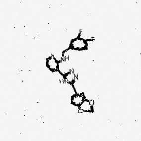 Fc1ccc(CNc2ncccc2-c2nnc(-c3ccc4c(c3)OCO4)[nH]2)cc1F